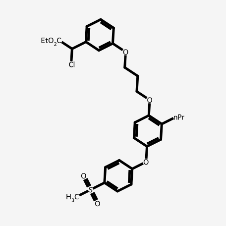 CCCc1cc(Oc2ccc(S(C)(=O)=O)cc2)ccc1OCCCOc1cccc(C(Cl)C(=O)OCC)c1